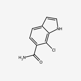 NC(=O)c1ccc2cc[nH]c2c1Cl